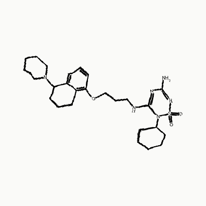 NC1=NS(=O)(=O)N(C2CCCCC2)C(NCCCOc2cccc3c2CCCC3N2CCCCC2)=N1